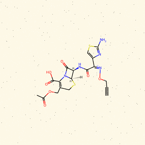 C#CCO/N=C(\C(=O)N[C@@H]1C(=O)N2C(C(=O)O)=C(COC(C)=O)CS[C@H]12)c1csc(N)n1